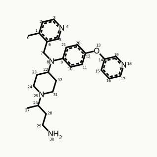 Cc1ccncc1CN(c1ccc(Oc2cccnc2)cc1)C1CCN(C(C)CCN)CC1